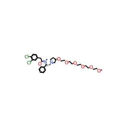 COCCOCCOCCOCCOCCO[C@H]1CCN(C[C@H](c2ccccc2)N(C)C(=O)Cc2ccc(Cl)c(Cl)c2)C1